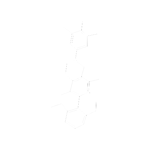 CCc1cccc(CC)c1-c1nc(C)c(COc2cc(C)c(C)c(C)c2)c(OC)c1C